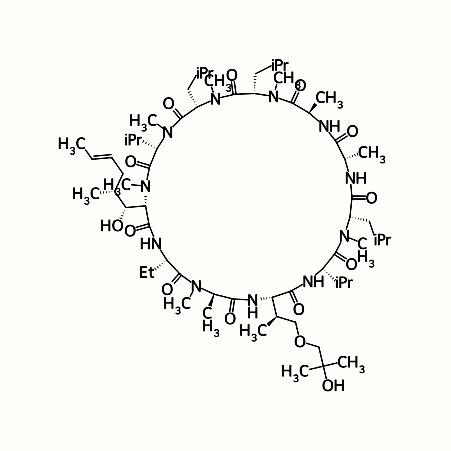 C/C=C/C[C@@H](C)[C@@H](O)[C@H]1C(=O)N[C@@H](CC)C(=O)N(C)[C@H](C)C(=O)N[C@@H]([C@H](C)COCC(C)(C)O)C(=O)N[C@@H](C(C)C)C(=O)N(C)[C@@H](CC(C)C)C(=O)N[C@@H](C)C(=O)N[C@H](C)C(=O)N(C)[C@@H](CC(C)C)C(=O)N(C)[C@@H](CC(C)C)C(=O)N(C)[C@@H](C(C)C)C(=O)N1C